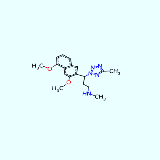 CNCCC(c1cc2cccc(OC)c2cc1OC)n1nnc(C)n1